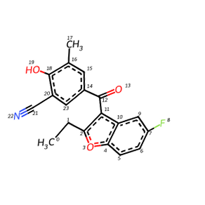 CCc1oc2ccc(F)cc2c1C(=O)c1cc(C)c(O)c(C#N)c1